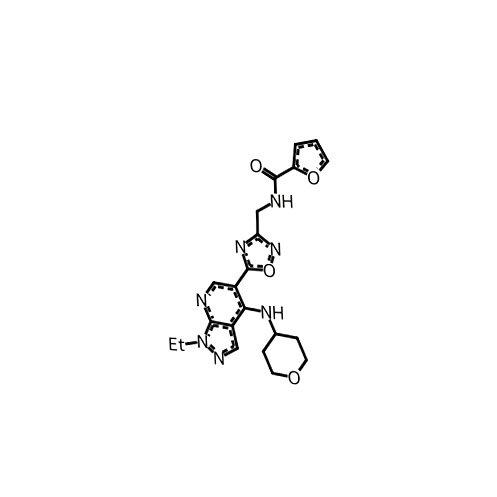 CCn1ncc2c(NC3CCOCC3)c(-c3nc(CNC(=O)c4ccco4)no3)cnc21